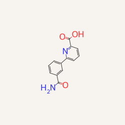 NC(=O)c1cccc(-c2cccc(C(=O)O)n2)c1